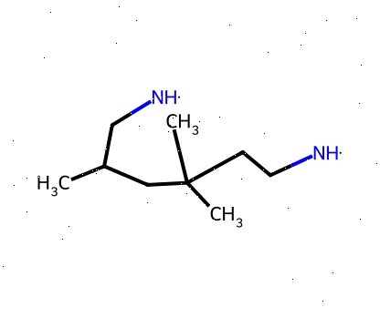 CC(C[NH])CC(C)(C)CC[NH]